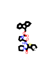 O=C(Nc1sc2c(c1C(=O)N1CCCCC1)CCCC2)C1CCCN1C(=O)OCC1c2ccccc2-c2ccccc21